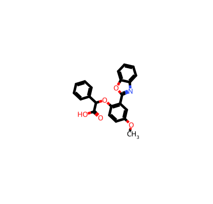 COc1ccc(OC(C(=O)O)c2ccccc2)c(-c2nc3ccccc3o2)c1